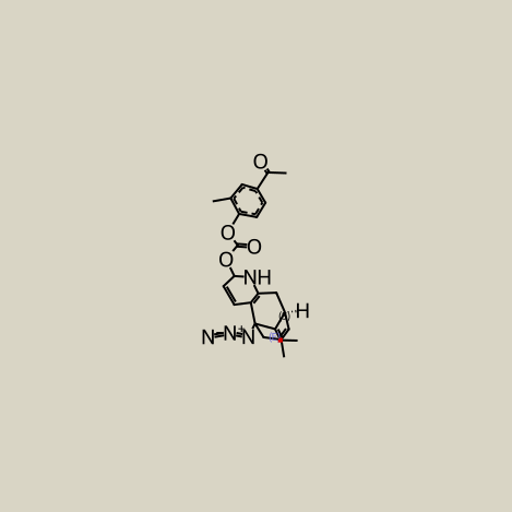 C/C=C1\[C@@H]2C=C(C)CC1(N=[N+]=[N-])C1=C(C2)NC(OC(=O)Oc2ccc(C(C)=O)cc2C)C=C1